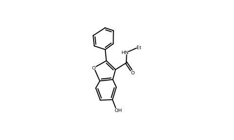 CCNC(=O)c1c(-c2ccccc2)oc2ccc(O)cc12